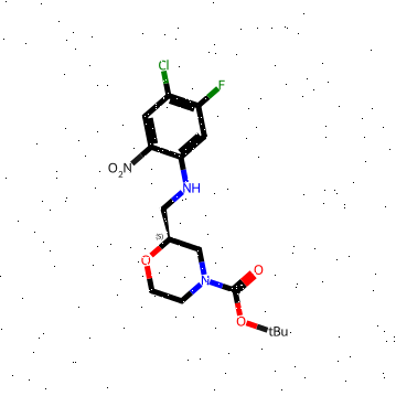 CC(C)(C)OC(=O)N1CCO[C@@H](CNc2cc(F)c(Cl)cc2[N+](=O)[O-])C1